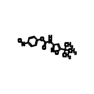 CC(C)(C)c1cc(NC(=O)Oc2ccc(N=O)cc2)no1